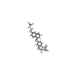 CNC(=O)C1c2ccc(Oc3ccnc4cc(OCCN(C)C)ccc34)cc2OC1C